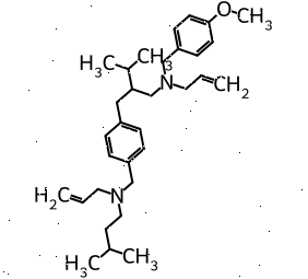 C=CCN(CCC(C)C)Cc1ccc(CC(CN(CC=C)Cc2ccc(OC)cc2)C(C)C)cc1